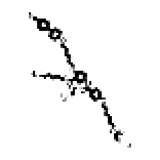 C=CC(=O)OCCCCCCOc1ccc(C(=O)Oc2ccc(OCCCCCCOc3ccc(-c4ccc(C#N)cc4)cc3)c(C(=O)OCCCCCC)c2OC(=O)C=C)cc1